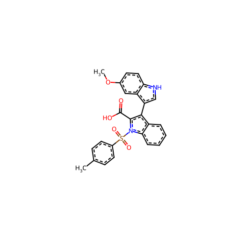 COc1ccc2[nH]cc(-c3c(C(=O)O)n(S(=O)(=O)c4ccc(C)cc4)c4ccccc34)c2c1